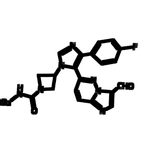 CC(C)(C)NC(=O)N1CC(n2cnc(-c3ccc(F)cc3)c2-c2ccc3ncc(C=O)n3n2)C1